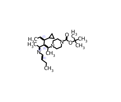 C\C=C(C(/C(C)=N\C=C\CC)=C(/C)N1CCN(C(=O)OC(C)(C)C)CC1)\C1CC1